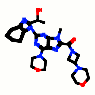 C[C@H](O)c1nc2ccccc2n1-c1nc(N2CCOCC2)c2nc(C(=O)N3CC(N4CCOCC4)C3)n(C)c2n1